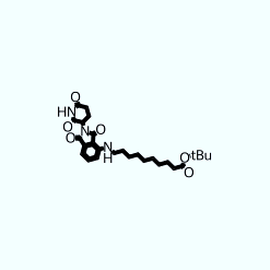 CC(C)(C)OC(=O)CCCCCCCCCNc1cccc2c1C(=O)N(C1CCC(=O)NC1=O)C2=O